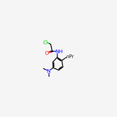 CCCc1ccc(N(C)C)cc1NC(=O)CCl